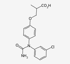 CC(COc1ccc(N(C(N)=O)c2cccc(Cl)c2)cc1)C(=O)O